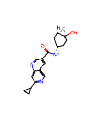 C[C@]1(O)CC[C@H](NC(=O)c2cnc3cc(C4CC4)ncc3c2)CC1